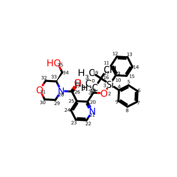 C[C@H](O[Si](c1ccccc1)(c1ccccc1)C(C)(C)C)c1ncccc1C(=O)N1CCOC[C@H]1CO